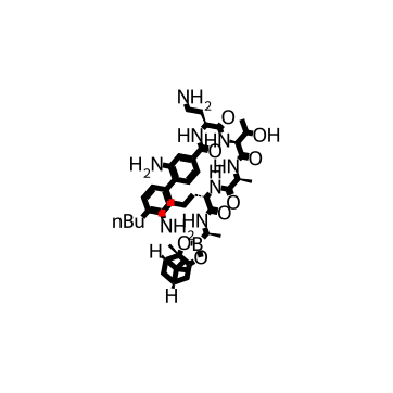 CCCCc1ccc(-c2ccc(C(=O)N[C@@H](CCN)C(=O)N[C@H](C(=O)N[C@@H](C)C(=O)N[C@@H](CCCCN)C(=O)N[C@@H](C)B3OC4C[C@@H]5C[C@@H](C5(C)C)[C@]4(C)O3)C(C)O)cc2N)cc1